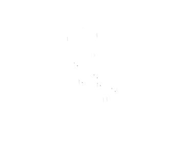 CC(C)(Oc1cc(F)cc(-c2cc(NC=O)nn2-c2cnccn2)c1)C(F)(F)F